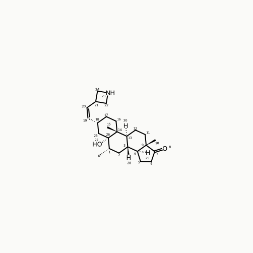 C[C@H]1C[C@H]2[C@@H]3CCC(=O)[C@@]3(C)CC[C@@H]2[C@@]2(C)CC[C@@H](/C=C\C3CNC3)C[C@]12O